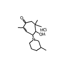 CC1=CC(N2CCCC(C)C2)C(O)C(C)(C)CC1=O.Cl